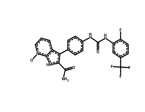 NC(=O)c1[nH]c2c(ccc[n+]2[O-])c1-c1ccc(NC(=O)Nc2cc(C(F)(F)F)ccc2F)cc1